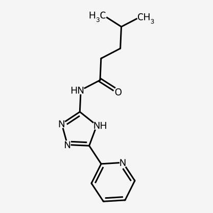 CC(C)CCC(=O)Nc1nnc(-c2ccccn2)[nH]1